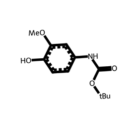 COc1cc(NC(=O)OC(C)(C)C)ccc1O